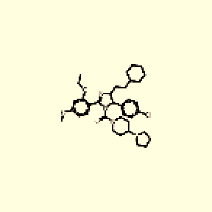 CCOc1cc(OC)ccc1C1=NC(CCC2CCCCC2)C(c2ccc(Cl)cc2)N1C(=O)N1CCC(N2CCCC2)CC1